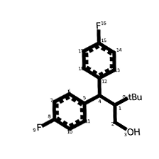 CC(C)(C)C(CO)C(c1ccc(F)cc1)c1ccc(F)cc1